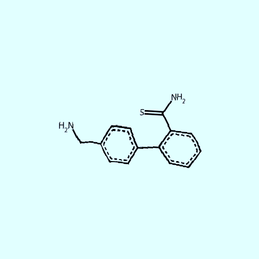 NCc1ccc(-c2ccccc2C(N)=S)cc1